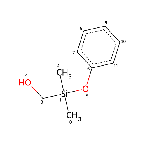 C[Si](C)(CO)Oc1ccccc1